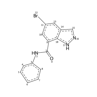 O=C(Nc1ccccc1)c1cc(Br)cc2cn[nH]c12